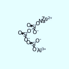 O=[Si]([O-])[O-].O=[Si]([O-])[O-].O=[Si]([O-])[O-].[Al+3].[Na+].[Zn+2]